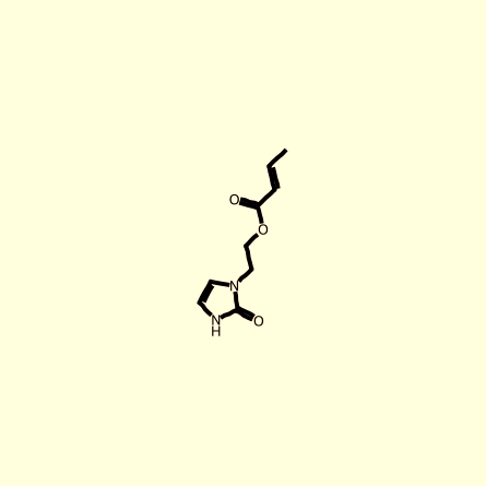 CC=CC(=O)OCCn1cc[nH]c1=O